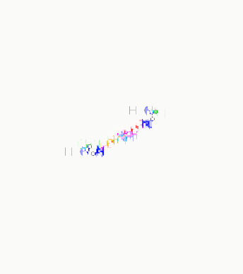 CN1Cc2c(Cl)cc(Cl)cc2[C@H](c2cccc(-c3cn(CCOCCOCCOCCNC(=O)NCCOCCOCCOCCn4cc(-c5cccc([C@@H]6CN(C)Cc7c(Cl)cc(Cl)cc76)c5)nn4)nn3)c2)C1.Cl